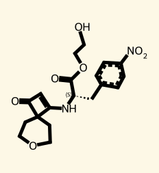 O=C(OCCO)[C@H](Cc1ccc([N+](=O)[O-])cc1)NC1=CC(=O)C12CCOCC2